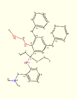 CCCC(CC)(Pc1ccccc1CN(C)C)c1cc(Cc2ccccc2)cc(Cc2ccccc2)c1OCOC